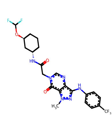 Cn1nc(Nc2ccc(C(F)(F)F)cc2)c2ncn(CC(=O)N[C@H]3CCC[C@H](OC(F)F)C3)c(=O)c21